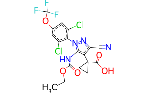 CCOC(=O)Nc1c(C2(C(=O)O)CC2)c(C#N)nn1-c1c(Cl)cc(OC(F)(F)F)cc1Cl